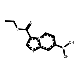 CCOC(=O)c1cnc2cc(B(O)O)ccn12